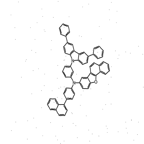 c1ccc(-c2ccc3c(c2)c2cc(-c4ccccc4)ccc2n3-c2cccc(N(c3ccc(-c4cccc5ccccc45)cc3)c3ccc4oc5c6ccccc6ccc5c4c3)c2)cc1